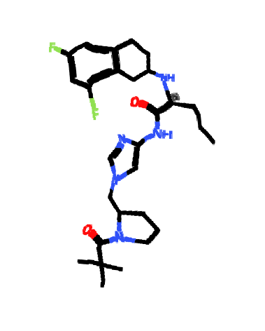 CCC[C@H](NC1CCc2cc(F)cc(F)c2C1)C(=O)Nc1cn(CC2CCCN2C(=O)C(C)(C)C)cn1